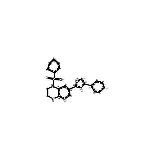 O=S(=O)(c1ccccc1)N1CCOc2ncc(-c3nnc(-c4ccccc4)o3)cc21